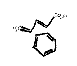 C=CC=CC(=O)OCC.c1ccccc1